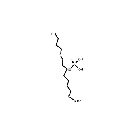 CCCCCCCCCCOCCCCCCCSCCCO.O=P(O)(O)O